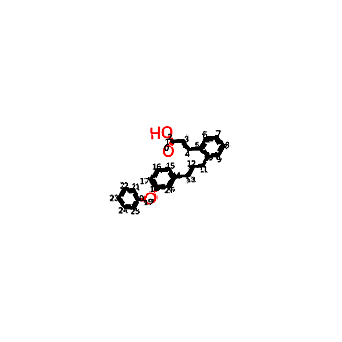 O=C(O)/C=C/c1ccccc1C/C=C/c1cccc(Oc2ccccc2)c1